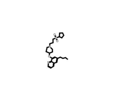 CCCCc1cc(OC2CCN(CCCS(=O)(=O)C3CCCC3)CC2)c2ncccc2c1